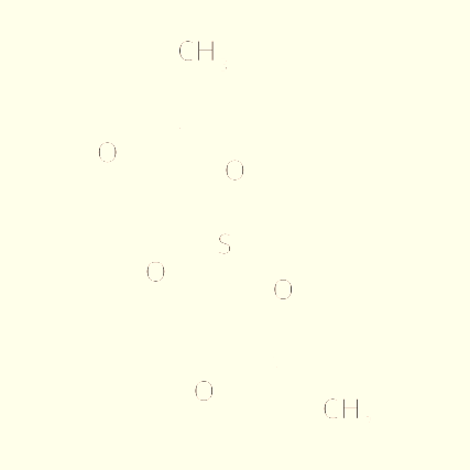 CC(=O)OS(=O)OC(C)=O